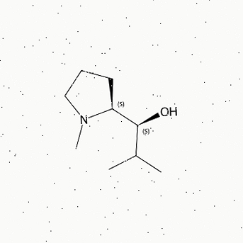 CC(C)[C@H](O)[C@@H]1CCCN1C